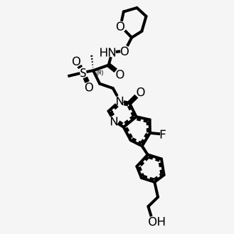 C[C@@](CCn1cnc2cc(-c3ccc(CCO)cc3)c(F)cc2c1=O)(C(=O)NOC1CCCCO1)S(C)(=O)=O